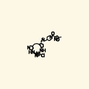 Cc1cc(C(=O)N2CCC(CN(C)Cc3ccc4cc3CCc3cncc(c3)Nc3ncc(Cl)c(n3)N4)CC2)no1